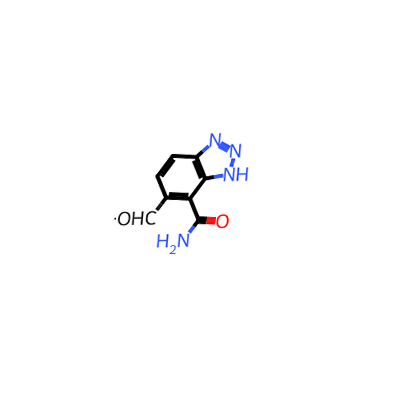 NC(=O)c1c([C]=O)ccc2nn[nH]c12